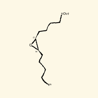 CCCCCCCCCCCC[C@@H]1O[C@@H]1CCCCC(C)C